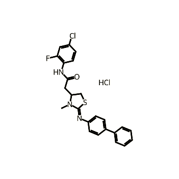 CN1C(=Nc2ccc(-c3ccccc3)cc2)SCC1CC(=O)Nc1ccc(Cl)cc1F.Cl